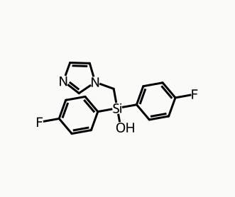 O[Si](Cn1ccnc1)(c1ccc(F)cc1)c1ccc(F)cc1